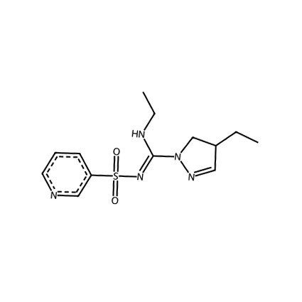 CCN/C(=N\S(=O)(=O)c1cccnc1)N1CC(CC)C=N1